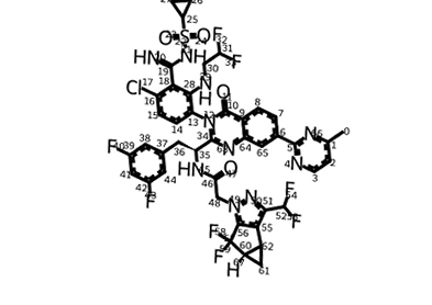 Cc1ccnc(-c2ccc3c(=O)n(-c4ccc(Cl)c(C(=N)NS(=O)(=O)C5CC5)c4NCC(F)F)c([C@H](Cc4cc(F)cc(F)c4)NC(=O)Cn4nc(C(F)F)c5c4C(F)(F)[C@H]4CC54)nc3c2)n1